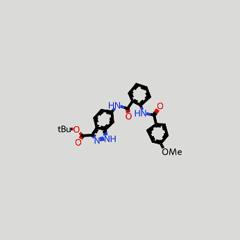 COc1ccc(C(=O)Nc2ccccc2C(=O)Nc2ccc3c(C(=O)OC(C)(C)C)n[nH]c3c2)cc1